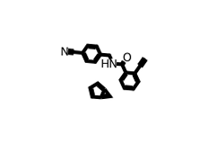 C#Cc1ccccc1C(=O)NCc1ccc(C#N)cc1.c1cc2cc-2c1